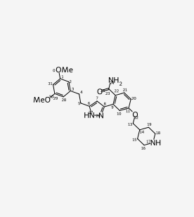 COc1cc(CCc2cc(-c3cc(OCC4CCNCC4)ccc3C(N)=O)n[nH]2)cc(OC)c1